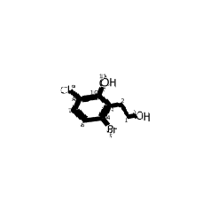 OCCc1c(Br)ccc(Cl)c1O